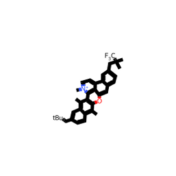 Cc1c2c(c(C)c3cc(CC(C)(C)C)ccc13)-c1c3c(cc4ccc(CC(C)(C)C(F)(F)F)cc4c3cc[n+]1C)O2